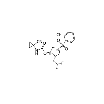 N#CC1(NC(=O)O[C@H]2C[C@@H](S(=O)(=O)c3ccccc3Cl)CN2CC(F)F)CC1